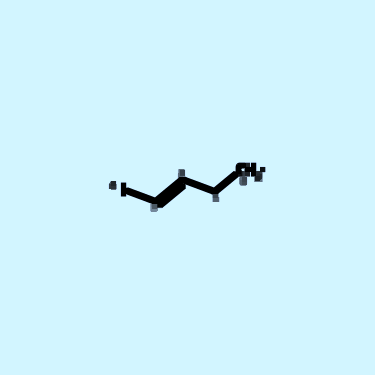 [CH2]CC=CI